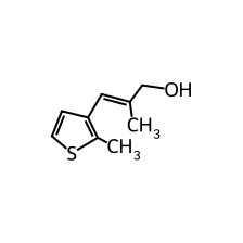 C/C(=C\c1ccsc1C)CO